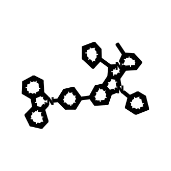 Cc1cccc2c3c(c(-c4ccccc4)n12)c1cc(-c2ccc(-n4c5ccccc5c5ccccc54)cc2)ccc1n3-c1ccccc1